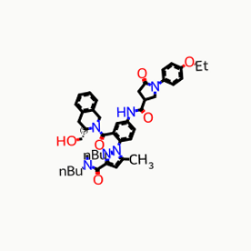 CCCCN(CCCC)C(=O)c1cc(C)n(-c2ccc(NC(=O)C3CC(=O)N(c4ccc(OCC)cc4)C3)cc2C(=O)N2Cc3ccccc3C[C@H]2CO)n1